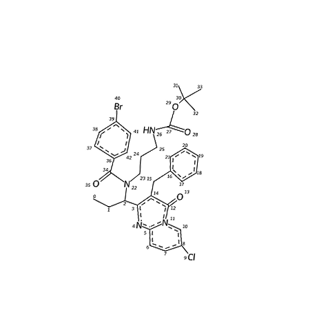 CCC(c1nc2ccc(Cl)cn2c(=O)c1Cc1ccccc1)N(CCCNC(=O)OC(C)(C)C)C(=O)c1ccc(Br)cc1